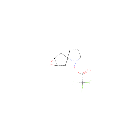 O=C(ON1CCCC12CC1OC1C2)C(F)(F)F